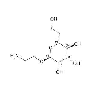 NCCO[C@H]1O[C@H](CCO)[C@@H](O)[C@H](O)[C@@H]1O